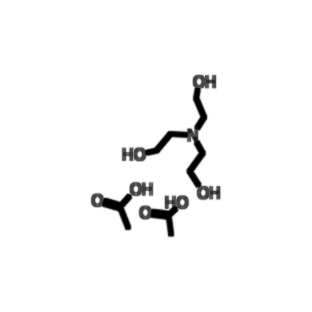 CC(=O)O.CC(=O)O.OCCN(CCO)CCO